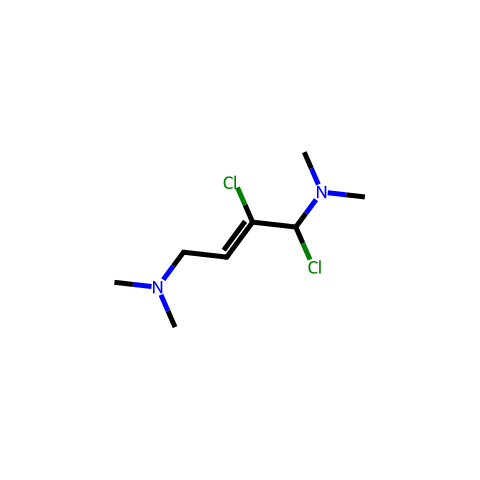 CN(C)CC=C(Cl)C(Cl)N(C)C